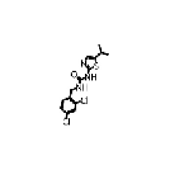 CC(C)c1cnc(NC(=O)NCc2ccc(Cl)cc2Cl)s1